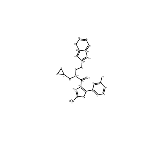 Cc1cccc(-c2sc(N)nc2C(=O)N(CCC2=NC3=CC=CCC3=N2)CC2CC2)c1